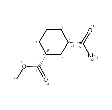 COC(=O)[C@@H]1CCC[C@H](C(N)=O)C1